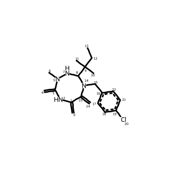 C=C1NC(=C)N(C)NC(C(C)(C)CC)N(Cc2ccc(Cl)cc2)C1=C